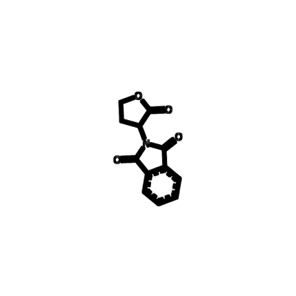 O=C1OCCC1N1C(=O)c2ccccc2C1=O